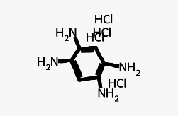 Cl.Cl.Cl.Cl.Nc1cc(N)c(N)cc1N